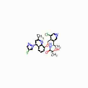 Cc1cc(-n2cc(F)cn2)c2cccc(OCc3c(Cl)cncc3C(C)NC(=O)[C@@H](C)O)c2n1